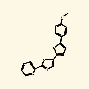 COc1ccc(-c2ccc(-c3cnc(-c4ccccn4)s3)s2)cc1